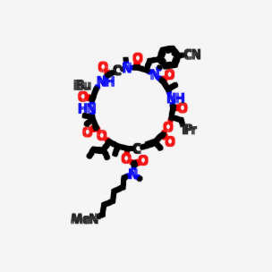 C/C=C(\C)C1OC(=O)C(C)(C)NC(=O)C([C@H](C)CC)NC(=O)CN(C)C(=O)C(Cc2ccc(C#N)cc2)N(C)C(=O)C(C)NC(=O)C(CC(C)C)OC(=O)C(C)=CCC(OC(=O)N(C)CCCCCCNC)C1C